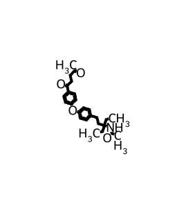 CCC(CC)(CCc1ccc(Oc2ccc(C(=O)CCC(C)=O)cc2)cc1)NC(C)=O